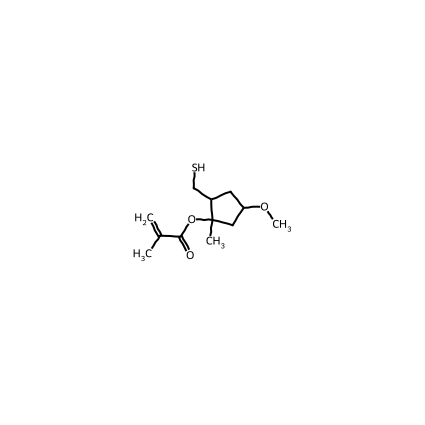 C=C(C)C(=O)OC1(C)CC(OC)CC1CS